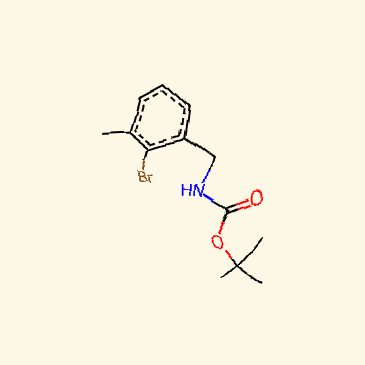 Cc1cccc(CNC(=O)OC(C)(C)C)c1Br